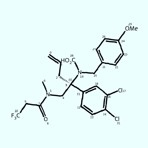 C=CC[C@@](CN(C)C(=O)CC(F)(F)F)(c1ccc(Cl)c(Cl)c1)N(Cc1ccc(OC)cc1)C(=O)O